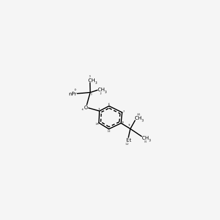 CCCC(C)(C)Oc1ccc(C(C)(C)CC)cc1